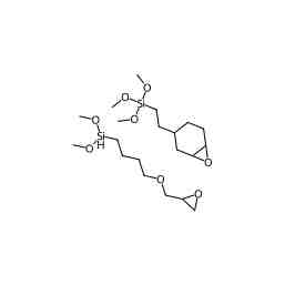 CO[SiH](CCCCOCC1CO1)OC.CO[Si](CCC1CCC2OC2C1)(OC)OC